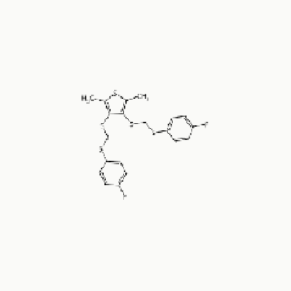 Cc1sc(C)c(SCSc2ccc(F)cc2)c1SCSc1ccc(F)cc1